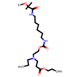 CCOC(C)(C)C(=O)NCCCCCCNC(=O)OCCN(CCOC)CCC(=O)OCCOC